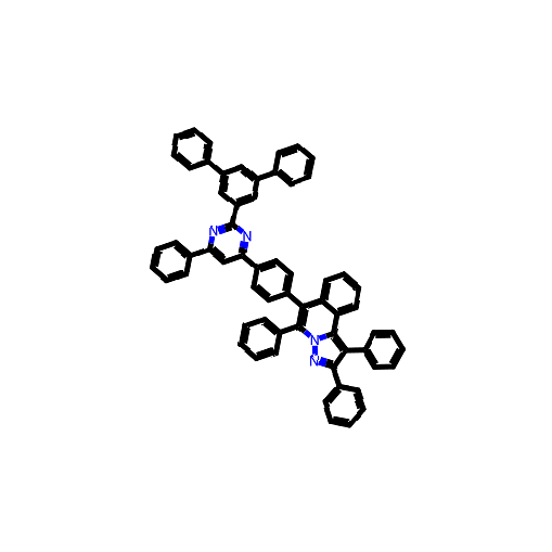 c1ccc(-c2cc(-c3ccccc3)cc(-c3nc(-c4ccccc4)cc(-c4ccc(-c5c(-c6ccccc6)n6nc(-c7ccccc7)c(-c7ccccc7)c6c6ccccc56)cc4)n3)c2)cc1